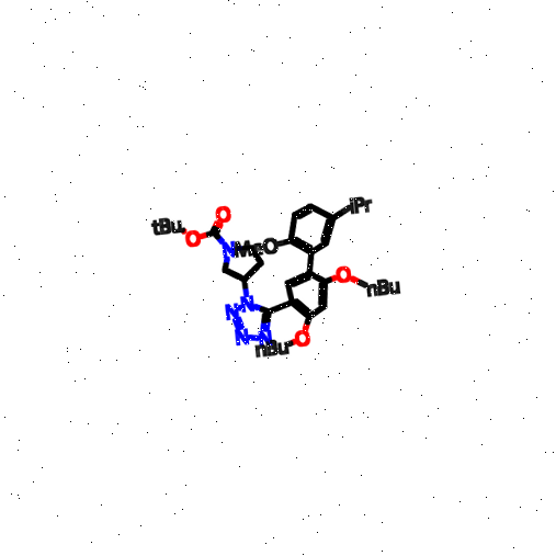 CCCCOc1cc(OCCCC)c(-c2nnnn2C2CCN(C(=O)OC(C)(C)C)C2)cc1-c1cc(C(C)C)ccc1OC